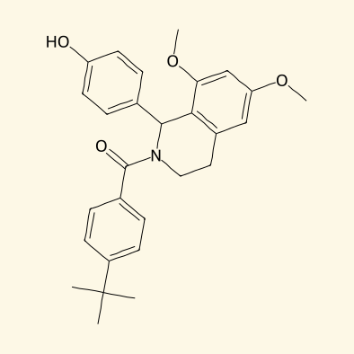 COc1cc2c(c(OC)c1)C(c1ccc(O)cc1)N(C(=O)c1ccc(C(C)(C)C)cc1)CC2